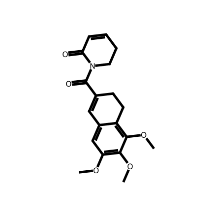 COc1cc2c(c(OC)c1OC)CCC(C(=O)N1CCC=CC1=O)=C2